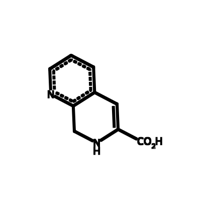 O=C(O)C1=Cc2cccnc2CN1